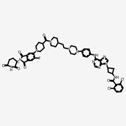 O=C1CC[C@H](N2C(=O)c3cc(F)c(N4CCC(C(=O)N5CCC(CCN6CCN(c7ccc(Nc8ncnc9c8ncn9C8CC(NC(=O)c9c(Cl)cccc9Cl)C8)cc7)CC6)CC5)CC4)cc3C2=O)C(=O)N1